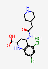 Cl.O=C(CC1CCNCC1)N[C@@H]1C[C@@H](C(=O)O)Nc2cc(Cl)cc(Cl)c21